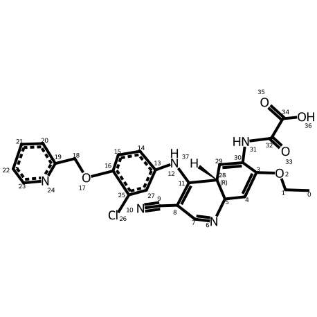 CCOC1=CC2N=CC(C#N)=C(Nc3ccc(OCc4ccccn4)c(Cl)c3)[C@@H]2C=C1NC(=O)C(=O)O